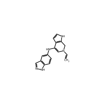 C=CN1C=C(Nc2ccc3[nH]ncc3c2)c2cc[nH]c2C1